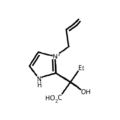 C=CC[n+]1cc[nH]c1C(O)(CC)C(=O)O